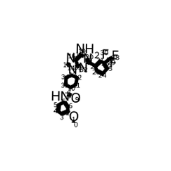 COc1cccc(NC(=O)[C@H]2CC[C@@H](n3cnc4c(N)nc(-c5cccc(C(F)(F)F)c5)nc43)CC2)c1